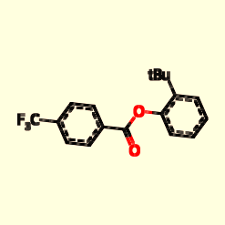 CC(C)(C)c1ccccc1OC(=O)c1ccc(C(F)(F)F)cc1